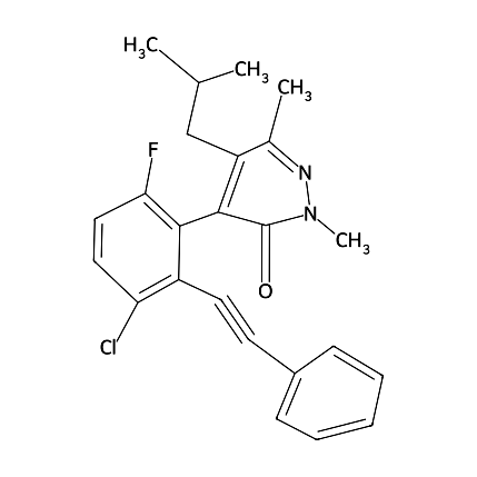 Cc1nn(C)c(=O)c(-c2c(F)ccc(Cl)c2C#Cc2ccccc2)c1CC(C)C